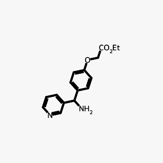 CCOC(=O)COc1ccc(C(N)c2cccnc2)cc1